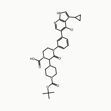 CC(C)(C)OC(=O)N1CCC(C2C(=O)N(c3cccc(-c4cnc5[nH]cc(C6CC6)c5c4Cl)c3)CCN2C(=O)O)CC1